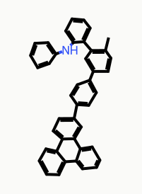 Cc1ccc(-c2ccc(-c3ccc4c5ccccc5c5ccccc5c4c3)cc2)cc1-c1ccccc1Nc1ccccc1